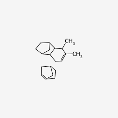 C1=C2CCC(C1)C2.CC1=CCC2C3CCC(C3)C2C1C